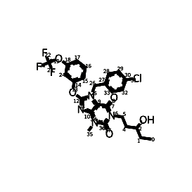 CCC(O)CCn1c(=O)c2c(nc(Oc3cccc(OC(F)(F)F)c3)n2Cc2ccc(Cl)cc2)n(C)c1=O